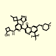 CC1CC(c2cc(NC3CCC3O)nc(-c3cnc4c(C(F)(F)F)cc(CN5CCC[C@H](C)C5)cn4c3=O)c2)(c2nncn2C)C1